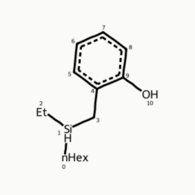 CCCCCC[SiH](CC)Cc1ccccc1O